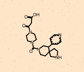 O=C(O)CC(=O)N1CCN(C(=O)N2CCC3(CCNC3)C(c3ccncc3)C2)CC1